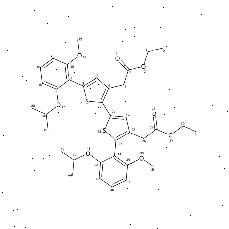 CCOC(=O)Cc1cc(-c2c(OC)cccc2OC(C)C)sc1-c1cc(CC(=O)OCC)c(-c2c(OC)cccc2OC(C)C)s1